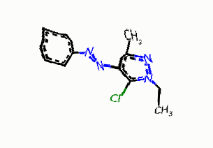 CCn1nc(C)c(N=Nc2ccccc2)c1Cl